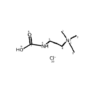 C[N+](C)(C)CCNC(=O)O.[Cl-]